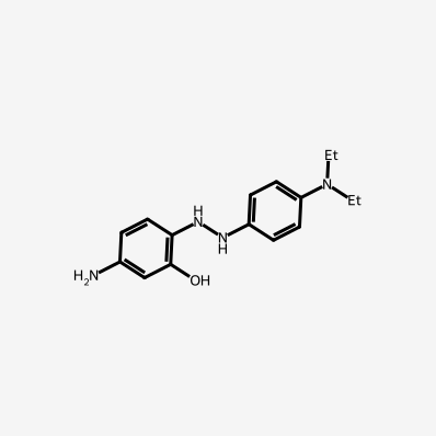 CCN(CC)c1ccc(NNc2ccc(N)cc2O)cc1